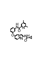 Cc1cc(C)nc(C(=O)Nc2cccc(Oc3ccc4nc(NC(=O)C5CC5)cn4c3)c2)c1